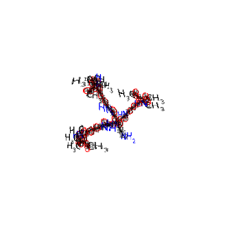 CC(=O)NC1C(OC(C)=O)CC(COC(C)=O)OC1OCCOCCOCCNC(=O)CCOCC(COCCC(=O)NCCOCCOCCOC1OC(COC(C)=O)C(OC(C)=O)C(OC(C)=O)C1NC(C)=O)(COCCC(=O)NCCOCCOCCOC1OC(COC(C)=O)C(OC(C)=O)C(OC(C)=O)C1NC(C)=O)NC(=O)CCCCCN